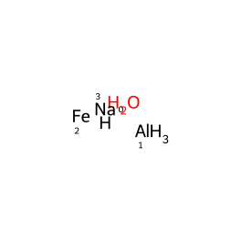 O.[AlH3].[Fe].[NaH]